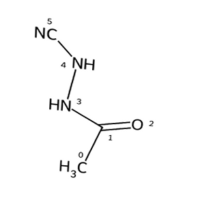 CC(=O)NNC#N